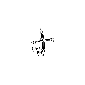 B.[Ca+2].[O]=[Cr](=[O])([O-])[O-]